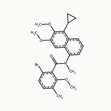 COc1cc2c(N(C)C(=O)c3c(Br)ccc(C)c3OC)cccc2c(C2CC2)c1OC